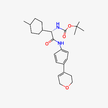 CC1CCC([C@H](NC(=O)OC(C)(C)C)C(=O)Nc2ccc(C3=CCOCC3)cc2)CC1